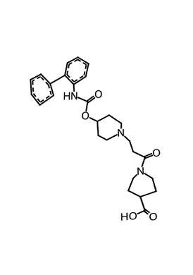 O=C(Nc1ccccc1-c1ccccc1)OC1CCN(CCC(=O)N2CCC(C(=O)O)CC2)CC1